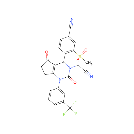 CS(=O)(=O)c1cc(C#N)ccc1C1C2=C(CCC2=O)N(c2cccc(C(F)(F)F)c2)C(=O)N1CC#N